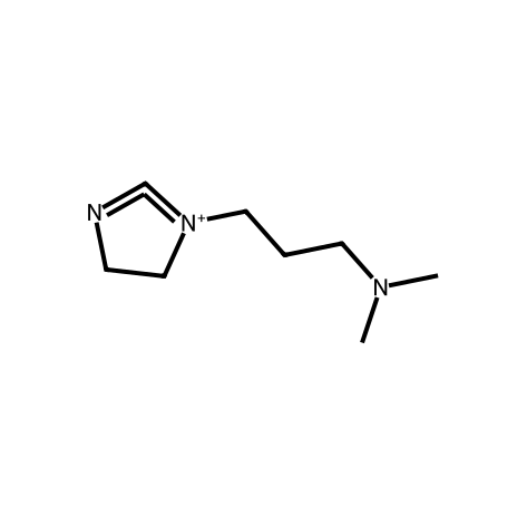 CN(C)CCC[N+]1=C=NCC1